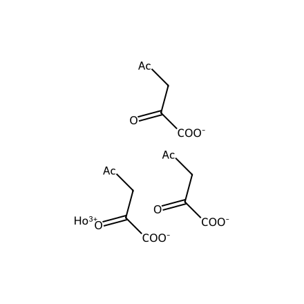 CC(=O)CC(=O)C(=O)[O-].CC(=O)CC(=O)C(=O)[O-].CC(=O)CC(=O)C(=O)[O-].[Ho+3]